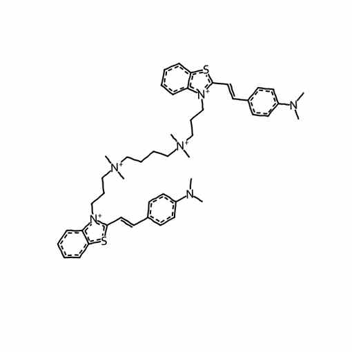 CN(C)c1ccc(/C=C/c2sc3ccccc3[n+]2CCC[N+](C)(C)CCCC[N+](C)(C)CCC[n+]2c(/C=C/c3ccc(N(C)C)cc3)sc3ccccc32)cc1